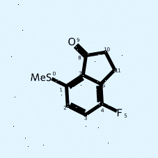 CSc1ccc(F)c2c1C(=O)CC2